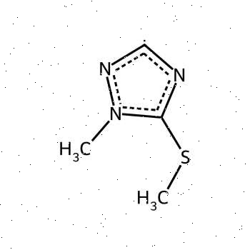 CSc1n[c]nn1C